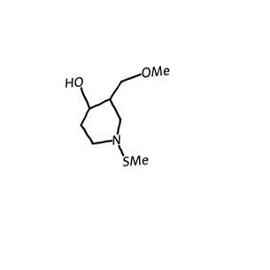 COCC1CN(SC)CCC1O